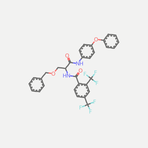 O=C(NC(COCc1ccccc1)C(=O)Nc1ccc(Oc2ccccc2)cc1)c1ccc(C(F)(F)F)cc1C(F)(F)F